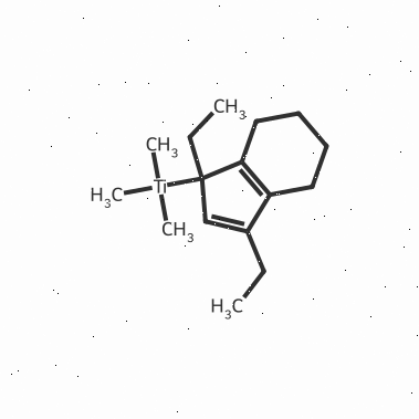 CCC1=C[C](CC)([Ti]([CH3])([CH3])[CH3])C2=C1CCCC2